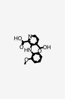 COc1ccccc1Nc1c(C(=O)O)ccnc1C(=O)O